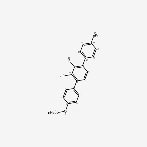 CCCCCCCOc1ccc(-c2ccc(-c3ccc(CCC)cc3)c(F)c2F)cc1